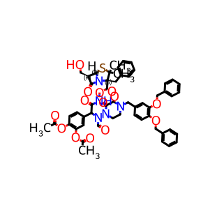 CC(=O)Oc1ccc(C(C(=O)NOC(=O)[C@]2(Cc3ccccc3)N3C(=O)[C@@H](CO)[C@H]3SC2(C)C)N(C=O)N2CCN(Cc3ccc(OCc4ccccc4)c(OCc4ccccc4)c3)C(=O)C2=O)cc1OC(C)=O